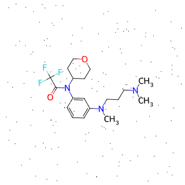 CN(C)CCCN(C)c1cc[c]c(N(C(=O)C(F)(F)F)C2CCOCC2)c1